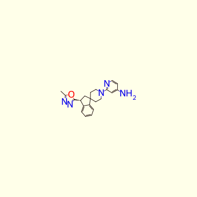 Cc1nnc([C@H]2CC3(CCN(c4cc(N)ccn4)CC3)c3ccccc32)o1